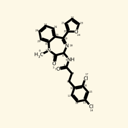 CN1C(=O)C(NC(=O)CCc2ccc(Cl)cc2Cl)N=C(c2ccco2)c2ccccc21